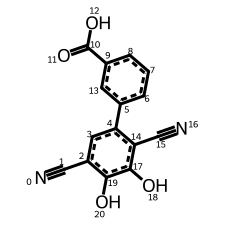 N#Cc1cc(-c2cccc(C(=O)O)c2)c(C#N)c(O)c1O